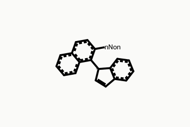 CCCCCCCCCc1ccc2ccccc2c1[C]1C=Cc2ccccc21